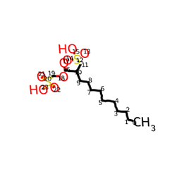 CCCCCCCCCCC(CS(=O)(=O)O)C(=O)OCS(=O)(=O)O